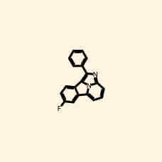 Fc1ccc2c(c1)c1cccc3nc(-c4ccccc4)c2n31